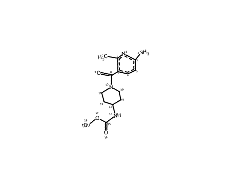 Cc1nc(N)ccc1C(=O)N1CCC(NC(=O)OC(C)(C)C)CC1